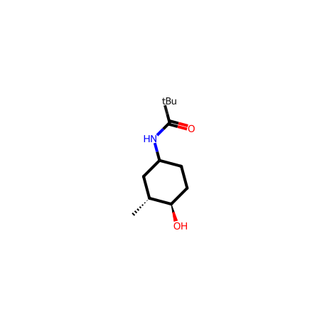 C[C@@H]1CC(NC(=O)C(C)(C)C)CC[C@H]1O